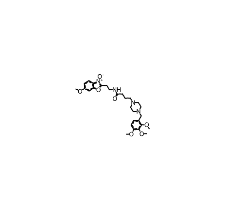 COc1ccc2c(c1)oc(CCNC(=O)CCCN1CCN(Cc3ccc(OC)c(OC)c3OC)CC1)[n+]2[O-]